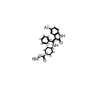 CC(=O)c1ccc2c(c1)/C(=C(/NC1CCN(C(=O)OC(C)(C)C)CC1)c1ccccc1)C(=O)N2